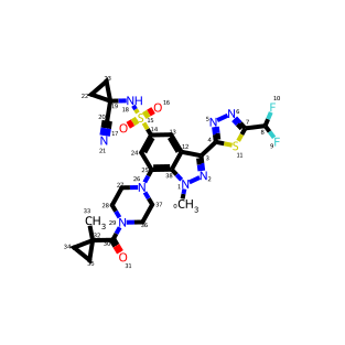 Cn1nc(-c2nnc(C(F)F)s2)c2cc(S(=O)(=O)NC3(C#N)CC3)cc(N3CCN(C(=O)C4(C)CC4)CC3)c21